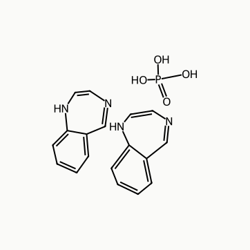 C1=CNc2ccccc2C=N1.C1=CNc2ccccc2C=N1.O=P(O)(O)O